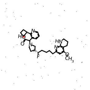 COc1cc(CCCCC(F)[C@@H]2CCN(C(C(=O)O)c3cccnc3C3CCC3)C2)nc2c1CCCN2